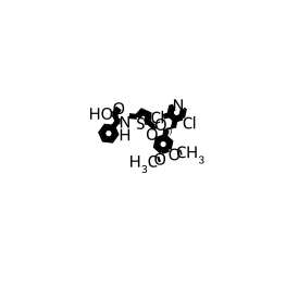 COc1ccc([C@H](Cc2c(Cl)cncc2Cl)OC(=O)c2ccc(CNC(C(=O)O)c3ccccc3)s2)cc1OC